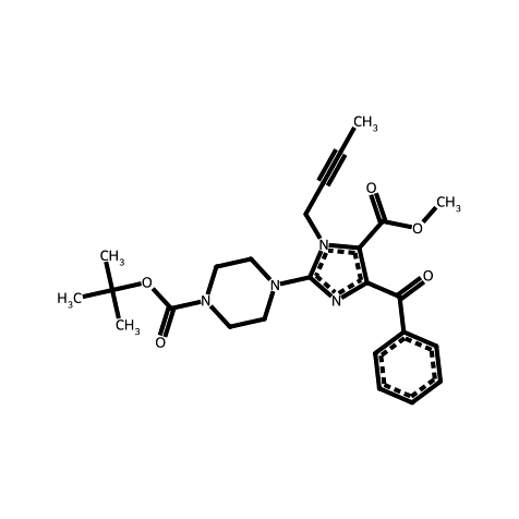 CC#CCn1c(N2CCN(C(=O)OC(C)(C)C)CC2)nc(C(=O)c2ccccc2)c1C(=O)OC